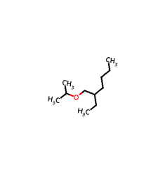 CCCCC(CC)CO[C](C)C